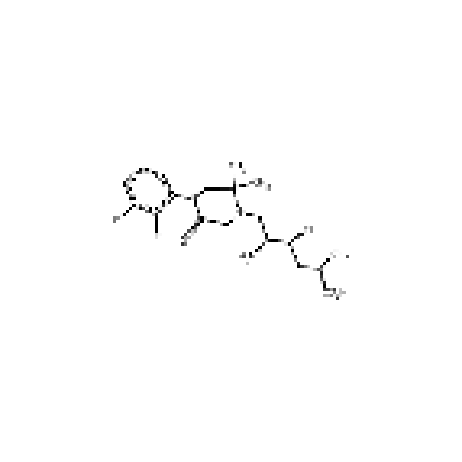 C[C@H](C[C@H](O)[C@@H](N)CN1CC(=O)N(c2cccc(F)c2F)CC1(C)C)C(=O)O